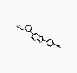 N#Cc1ccc(-c2cn3cc(-c4cccc(CO)c4)ccc3n2)cc1